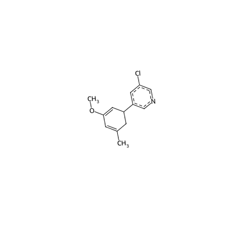 COC1=CC(c2cncc(Cl)c2)CC(C)=C1